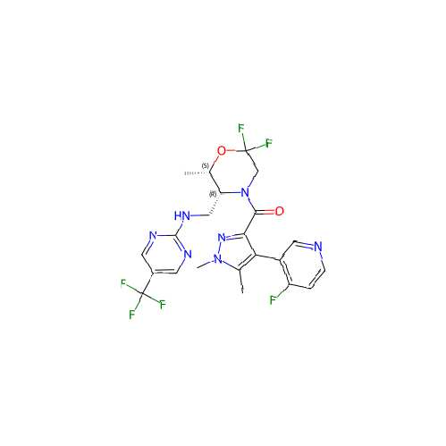 Cc1c(-c2cnccc2F)c(C(=O)N2CC(F)(F)O[C@@H](C)[C@H]2CNc2ncc(C(F)(F)F)cn2)nn1C